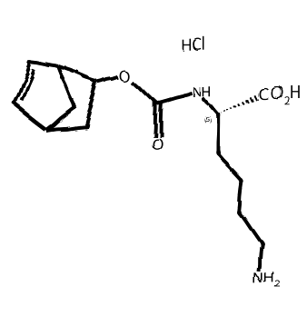 Cl.NCCCC[C@H](NC(=O)OC1CC2C=CC1C2)C(=O)O